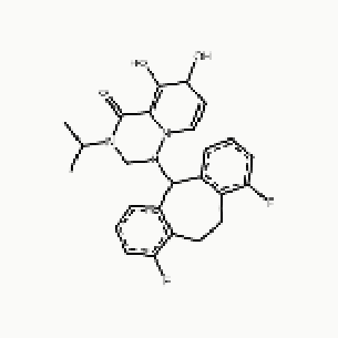 CC(C)N1CN(C2c3cccc(F)c3CCc3c(F)cccc32)N2C=CC(O)C(O)=C2C1=O